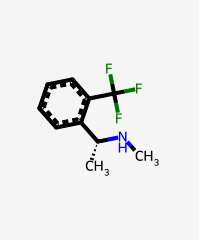 CN[C@H](C)c1ccccc1C(F)(F)F